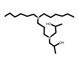 CCCCCCN(CCCCCC)CCCN(CC(C)O)CC(C)O